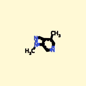 Cc1cncc2c1cnn2C